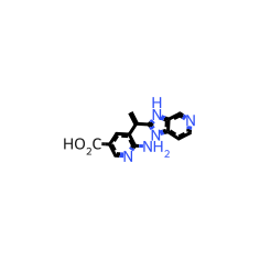 C=C(c1nc2ccncc2[nH]1)c1cc(C(=O)O)cnc1N